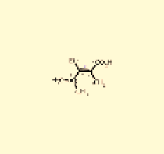 CC/C(=C(/C)C(=O)O)[As](C)C